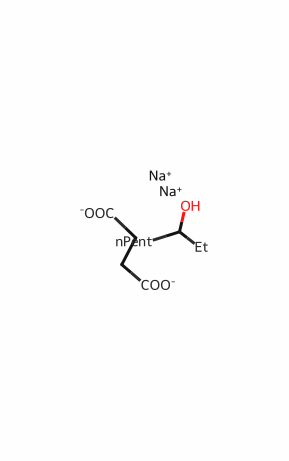 CCCCCC(O)CC.O=C([O-])CCC(=O)[O-].[Na+].[Na+]